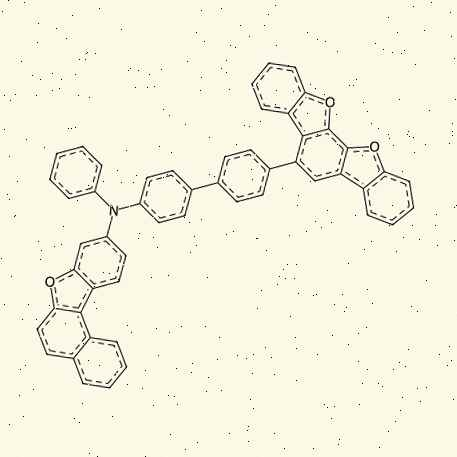 c1ccc(N(c2ccc(-c3ccc(-c4cc5c6ccccc6oc5c5oc6ccccc6c45)cc3)cc2)c2ccc3c(c2)oc2ccc4ccccc4c23)cc1